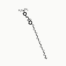 CN(C)c1ccc(/C=C/c2nc3ccc(OCCOCCOCCOCCOCCOCCOCCOCCF)cc3o2)cc1